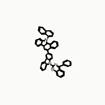 C1=C(c2ccc3c(c2)c2ccccc2n3-c2nc(-c3ccccc3)c3ccccc3n2)c2ccccc2C2C1c1ccccc1N2c1cccc2ccccc12